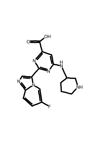 O=C(O)c1cc(NC2CCCNC2)nc(-c2cnc3ccc(F)cn23)n1